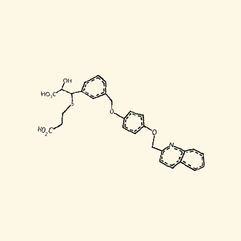 O=C(O)CCSC(c1cccc(COc2ccc(OCc3ccc4ccccc4n3)cc2)c1)C(O)C(=O)O